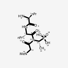 CCC[C@H](NC(=O)[C@@H](N)CCC)C(=O)N(C(=O)CNC)[C@@H](C)P(=O)(O)O